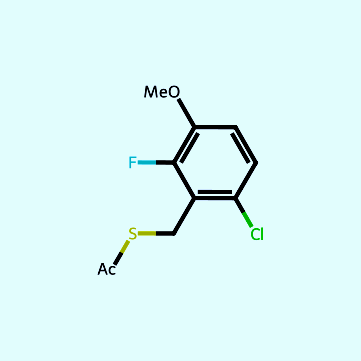 COc1ccc(Cl)c(CSC(C)=O)c1F